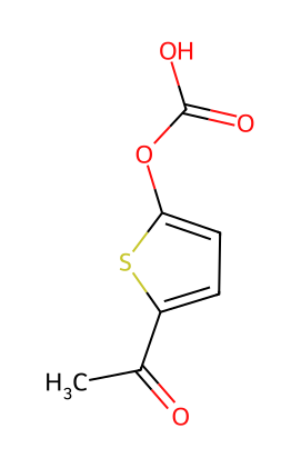 CC(=O)c1ccc(OC(=O)O)s1